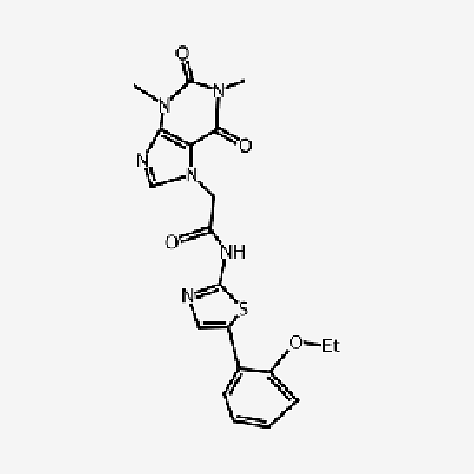 CCOc1ccccc1-c1cnc(NC(=O)Cn2cnc3c2c(=O)n(C)c(=O)n3C)s1